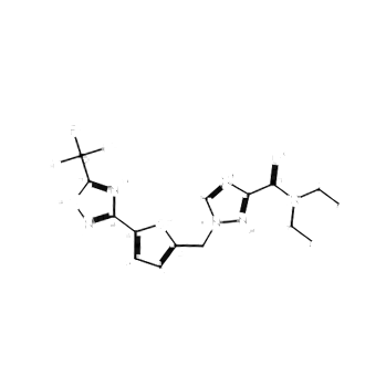 CCN(CC)C(=O)c1ncn(Cc2ccc(-c3noc(C(F)(F)F)n3)s2)n1